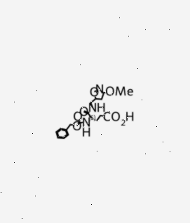 COC1=NOC(CNC(=O)[C@H](CCC(=O)O)NC(=O)OCc2ccccc2)C1